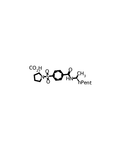 CCCCC[C@H](C)NC(=O)c1ccc(S(=O)(=O)N2CCC[C@@H]2C(=O)O)cc1